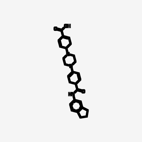 O=C(O)C1=CCC(N2CCN(C3=CCC(C(=O)Nc4ccc5c(c4)CCC5)C=C3)CC2)C=C1